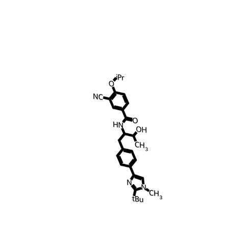 CC(C)Oc1ccc(C(=O)NC(Cc2ccc(-c3cn(C)c(C(C)(C)C)n3)cc2)C(C)O)cc1C#N